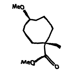 COC(=O)[C@]1(C)CC[C@@H](OC)CC1